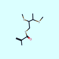 C=C(C)C(=O)SCC(SC)C(C)SC